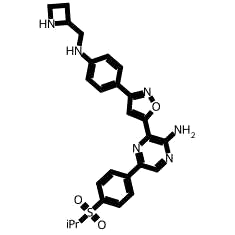 CC(C)S(=O)(=O)c1ccc(-c2cnc(N)c(-c3cc(-c4ccc(NCC5CCN5)cc4)no3)n2)cc1